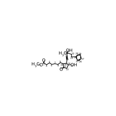 COC(=O)CCCCCCC1C(=O)CC(O)C1C#CC(C)(O)CCc1ccccc1